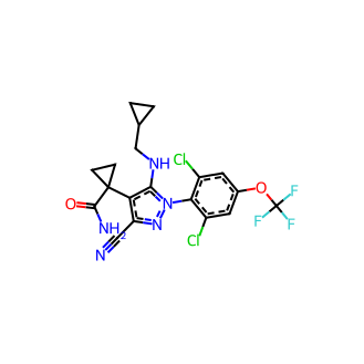 N#Cc1nn(-c2c(Cl)cc(OC(F)(F)F)cc2Cl)c(NCC2CC2)c1C1(C(N)=O)CC1